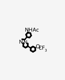 CC(=O)Nc1cccc(-c2cnc3ccc(-c4cccc(OC(F)(F)F)c4)cn23)c1